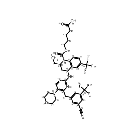 CC[C@@H]1C[C@H](Nc2ncc(N3CCOCC3)c(Cc3cc(C#N)cc(C(F)(F)F)c3)n2)c2cc(C(F)(F)F)ccc2N1C(=O)OCCCCC(=O)O